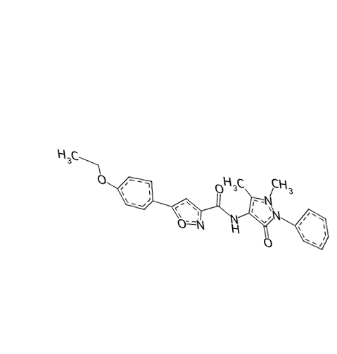 CCOc1ccc(-c2cc(C(=O)Nc3c(C)n(C)n(-c4ccccc4)c3=O)no2)cc1